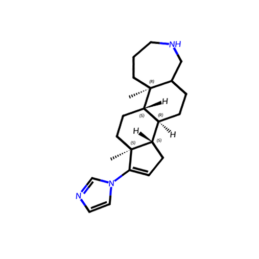 C[C@]12CCCNCC1CC[C@@H]1[C@@H]2CC[C@]2(C)C(n3ccnc3)=CC[C@@H]12